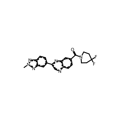 Cn1nc2ccc(-c3cnc4ccc(C(=O)N5CCC(F)(F)CC5)cc4n3)cc2n1